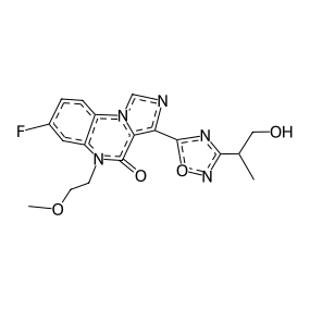 COCCn1c(=O)c2c(-c3nc(C(C)CO)no3)ncn2c2ccc(F)cc21